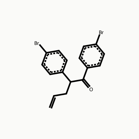 C=CCC(C(=O)c1ccc(Br)cc1)c1ccc(Br)cc1